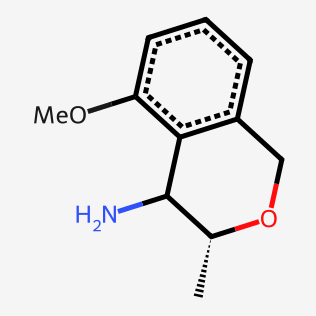 COc1cccc2c1C(N)[C@@H](C)OC2